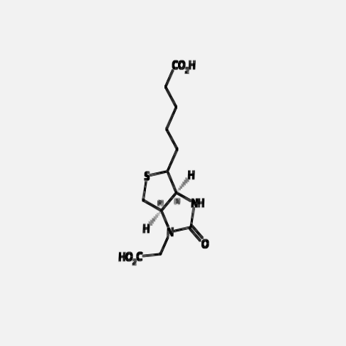 O=C(O)CCCCC1SC[C@H]2[C@@H]1NC(=O)N2CC(=O)O